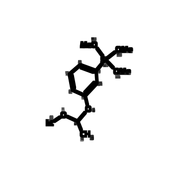 CCOC(C)Oc1cccc([Si](OC)(OC)OC)c1